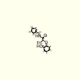 CCC(Oc1ccccc1O)C(=O)NCc1cccs1